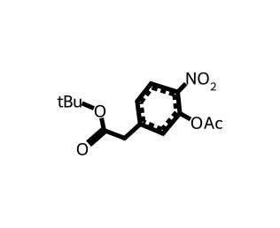 CC(=O)Oc1cc(CC(=O)OC(C)(C)C)ccc1[N+](=O)[O-]